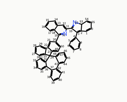 C1=CC2=C(c3ccccc3)C(c3cc4ccccc4c(-c4ccc(C5(c6ccccc6)c6ccccc6-c6ccccc6-c6ccccc65)cc4)n3)=NC2C=C1